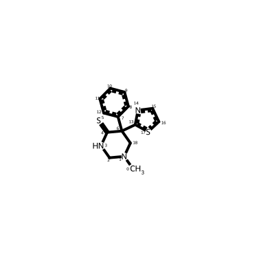 CN1CNC(=S)C(c2ccccc2)(c2nccs2)C1